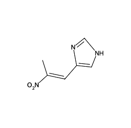 CC(=Cc1c[nH]cn1)[N+](=O)[O-]